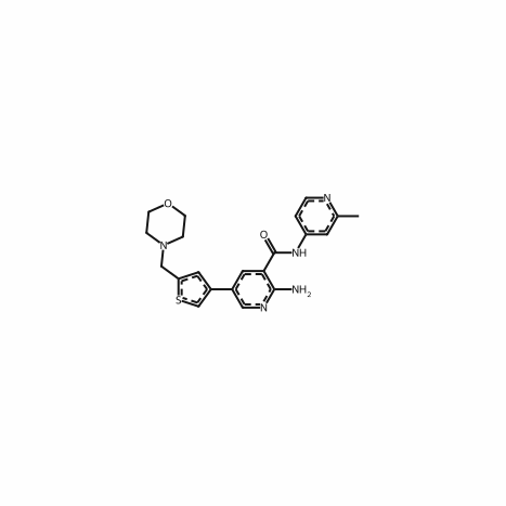 Cc1cc(NC(=O)c2cc(-c3csc(CN4CCOCC4)c3)cnc2N)ccn1